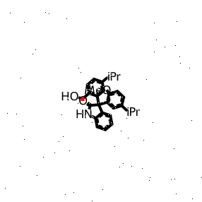 COc1ccc(C(C)C)cc1C1(c2cc(C(C)C)ccc2CO)C(=O)Nc2ccccc21